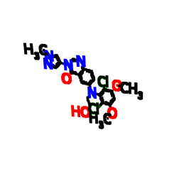 COc1cc(OC)c(Cl)c(N(CCO)c2ccc3ncn(-c4cnn(C)c4)c(=O)c3c2)c1Cl